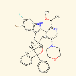 COC(C)c1ncc(N2CCOCC2)cc1-c1[nH]c2cc(F)c(Br)cc2c1CC(C)(C)CO[Si](c1ccccc1)(c1ccccc1)C(C)(C)C